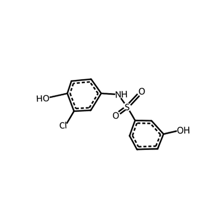 O=S(=O)(Nc1ccc(O)c(Cl)c1)c1cccc(O)c1